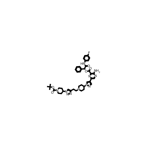 CC(C)(C)OC(=O)N1CCC(n2cc(CCN3CCC(n4cc(-c5cnc(N)c(C(=O)O[C@@H](C(=O)Nc6ccc(F)cc6)c6ccccc6)n5)cn4)CC3)nn2)CC1